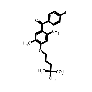 Cc1cc(C(=O)c2ccc(Cl)cc2)c(C)cc1OCCCC(C)(C)C(=O)O